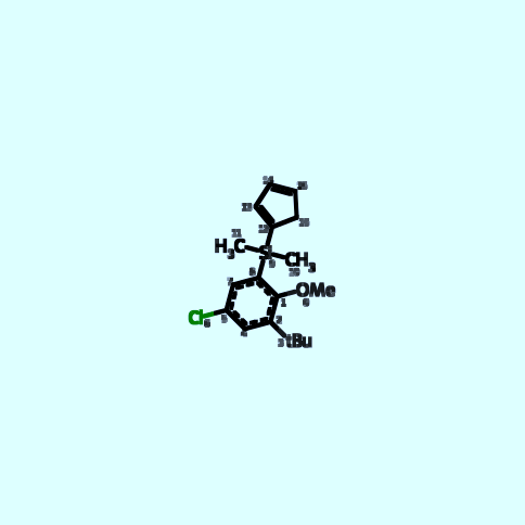 COc1c(C(C)(C)C)cc(Cl)cc1[Si](C)(C)C1=CC=CC1